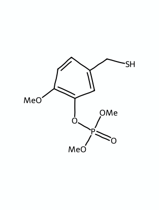 COc1ccc(CS)cc1OP(=O)(OC)OC